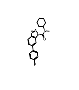 CN(C(=O)n1nnc2ccc(-c3ccc(F)cc3)cc21)C1CCCCC1